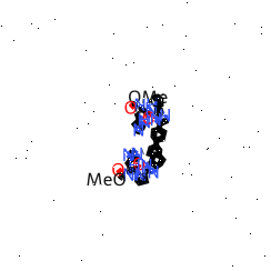 COC(=O)N[C@@H](Cc1cn(C)cn1)C(=O)N1C[Si](C)(C)C[C@H]1c1ncc(-c2ccc(-c3ccc4c(ccc5nc([C@@H]6CCCN6C(=O)[C@H](Cc6cn(C)cn6)NC(=O)OC)[nH]c54)c3)cc2)[nH]1